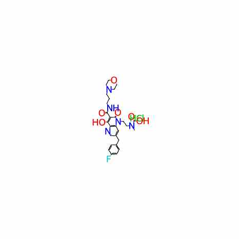 CN(CCn1c(=O)c(C(=O)NCCCN2CCOCC2)c(O)c2ncc(Cc3ccc(F)cc3)cc21)C(=O)O.Cl